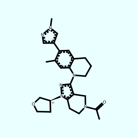 CC(=O)N1CCc2c(c(N3CCCc4cc(-c5cnn(C)c5)c(C)cc43)nn2[C@H]2CCOC2)C1